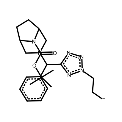 CC(C)(C)OC(=O)N1C2CCC1CN(C(c1ccccc1)c1nnn(CCF)n1)C2